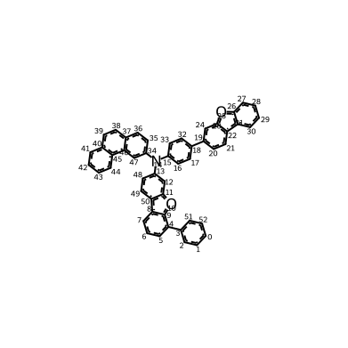 c1ccc(-c2cccc3c2oc2cc(N(c4ccc(-c5ccc6c(c5)oc5ccccc56)cc4)c4ccc5ccc6ccccc6c5c4)ccc23)cc1